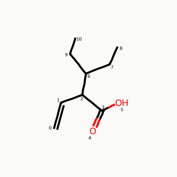 C=CC(C(=O)O)C(CC)CC